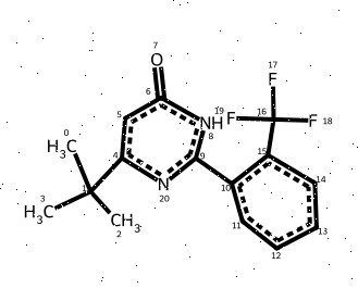 CC(C)(C)c1cc(=O)[nH]c(-c2ccccc2C(F)(F)F)n1